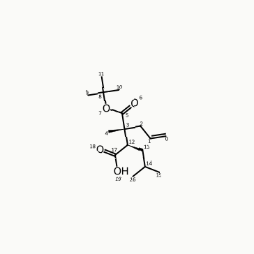 C=CC[C@@](C)(C(=O)OC(C)(C)C)[C@@H](CC(C)C)C(=O)O